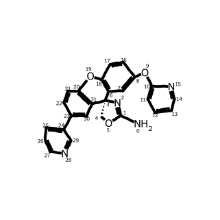 NC1=N[C@]2(CO1)c1cc(Oc3ccccn3)ccc1Oc1ccc(-c3cccnc3)cc12